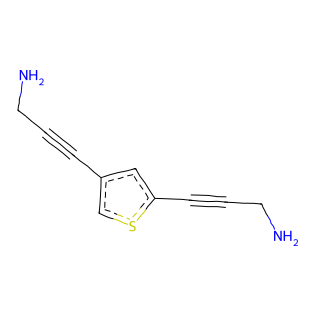 NCC#Cc1csc(C#CCN)c1